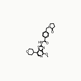 COc1ncc(C2CCOCC2)c2sc(NC(=O)c3ccc(CN4CCCC4=O)cc3)nc12